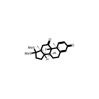 CSC1(SC)CC[C@H]2[C@@H]3CCC4=CC(=O)C=C[C@]4(C)C3(F)C(=O)C[C@@]21C